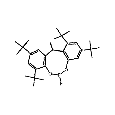 CC1c2cc(C(C)(C)C)cc(C(C)(C)C)c2OP(F)Oc2cc(C(C)(C)C)cc(C(C)(C)C)c21